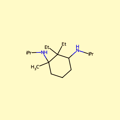 CCC1(CC)C(NC(C)C)CCCC1(C)NC(C)C